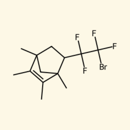 CC1=C(C)C2(C)CC1(C)CC2C(F)(F)C(F)(F)Br